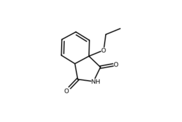 CCOC12C=CC=CC1C(=O)NC2=O